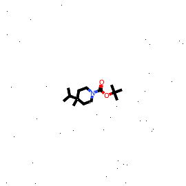 CC(C)C1(C)CCN(C(=O)OC(C)(C)C)CC1